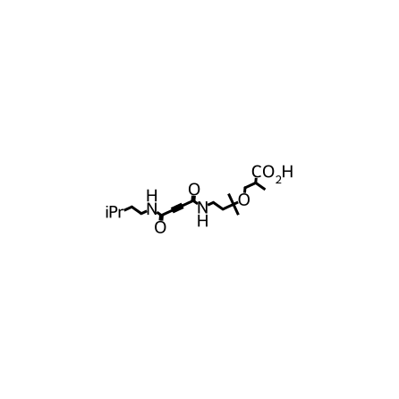 CC(C)CCNC(=O)C#CC(=O)NCCC(C)(C)OCC(C)C(=O)O